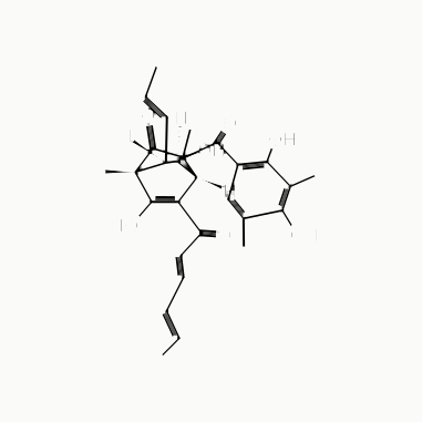 C/C=C/C=C/C(=O)C1=C(O)[C@]2(C)C(=O)C(C)(O)[C@H]1[C@H](C(=O)c1cc(C)c(O)c(C)c1O)[C@H]2/C=C/C